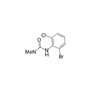 CNC(=O)Nc1c(Cl)cccc1Br